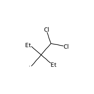 [CH2]C(CC)(CC)C(Cl)Cl